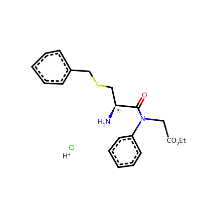 CCOC(=O)CN(C(=O)[C@@H](N)CSCc1ccccc1)c1ccccc1.[Cl-].[H+]